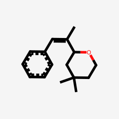 CC(=Cc1ccccc1)C1CC(C)(C)CCO1